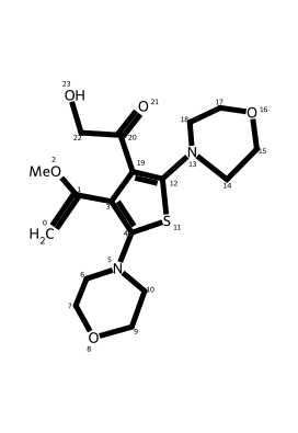 C=C(OC)c1c(N2CCOCC2)sc(N2CCOCC2)c1C(=O)CO